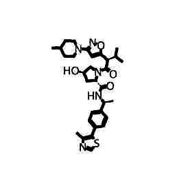 Cc1ncsc1-c1ccc([C@H](C)NC(=O)[C@@H]2C[C@@H](O)CN2C(=O)[C@@H](c2cc(N3CCC(C)CC3)no2)C(C)C)cc1